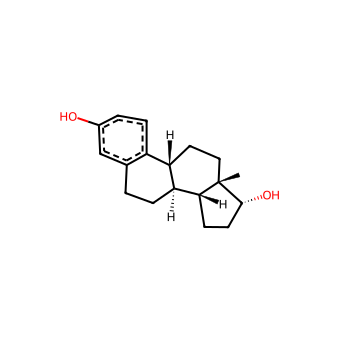 C[C@]12CC[C@H]3c4ccc(O)cc4CC[C@@H]3[C@H]1CC[C@H]2O